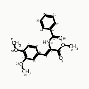 COC(=O)/C(=C/c1ccc(OC)c(OC)c1)NC(=O)c1ccccc1